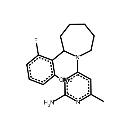 COc1cccc(F)c1C1CCCCCN1c1cc(C)nc(N)n1